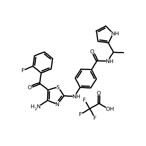 CC(NC(=O)c1ccc(Nc2nc(N)c(C(=O)c3ccccc3F)s2)cc1)c1ccc[nH]1.O=C(O)C(F)(F)F